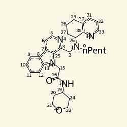 CCCCCN(Cc1nccc2c3ccccc3n(CC(=O)NC3CCOCC3)c12)C1CCCc2cccnc21